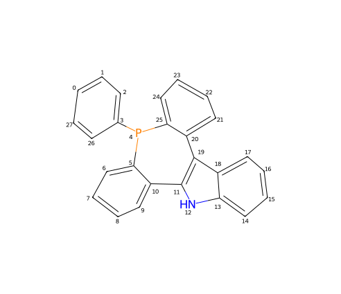 c1ccc(P2c3ccccc3-c3[nH]c4ccccc4c3-c3ccccc32)cc1